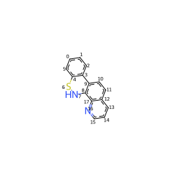 c1ccc2c(c1)SNc1c-2ccc2cccnc12